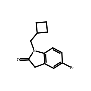 O=C1Cc2cc(Br)ccc2N1CC1CCC1